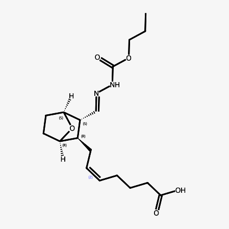 CCCOC(=O)NN=C[C@@H]1[C@@H](C/C=C\CCCC(=O)O)[C@H]2CC[C@@H]1O2